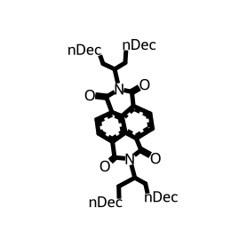 CCCCCCCCCCCC(CCCCCCCCCCC)N1C(=O)c2ccc3c4c(ccc(c24)C1=O)C(=O)N(C(CCCCCCCCCCC)CCCCCCCCCCC)C3=O